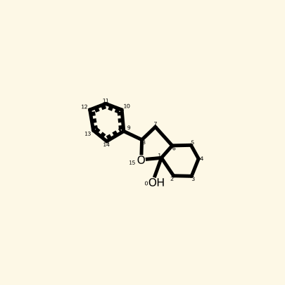 OC12CCCCC1CC(c1ccccc1)O2